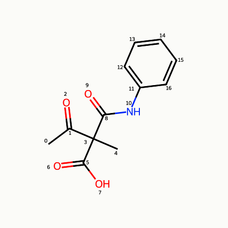 CC(=O)C(C)(C(=O)O)C(=O)Nc1ccccc1